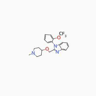 CN1CCC(OCc2nc3ccccc3n2-c2ccccc2OC(F)(F)F)CC1